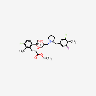 CCOC(=O)CCc1c(C(C)OCC(O)CN2CCC[C@H]2CC2=CC(I)C(C)C(F)=C2)ccc(F)c1C